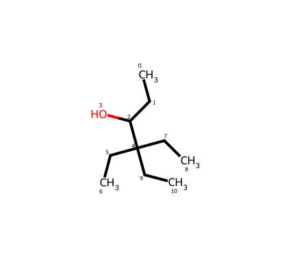 CCC(O)C(CC)(CC)CC